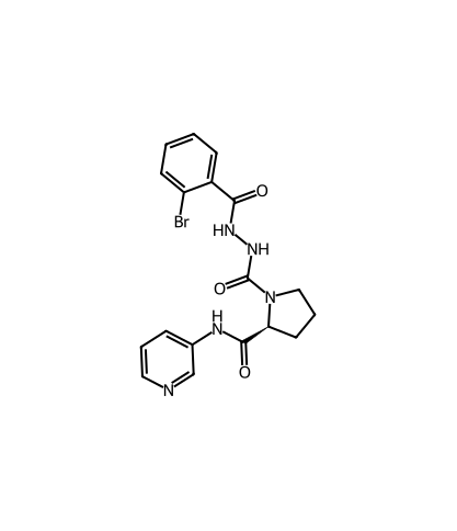 O=C(NNC(=O)N1CCC[C@H]1C(=O)Nc1cccnc1)c1ccccc1Br